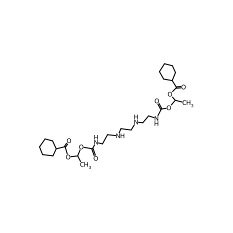 CC(OC(=O)NCCNCCNCCNC(=O)OC(C)OC(=O)C1CCCCC1)OC(=O)C1CCCCC1